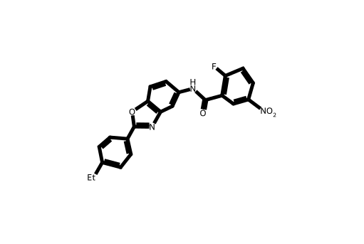 CCc1ccc(-c2nc3cc(NC(=O)c4cc([N+](=O)[O-])ccc4F)ccc3o2)cc1